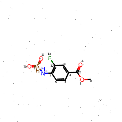 COC(=O)c1ccc(N[SH](=O)=O)c(F)c1